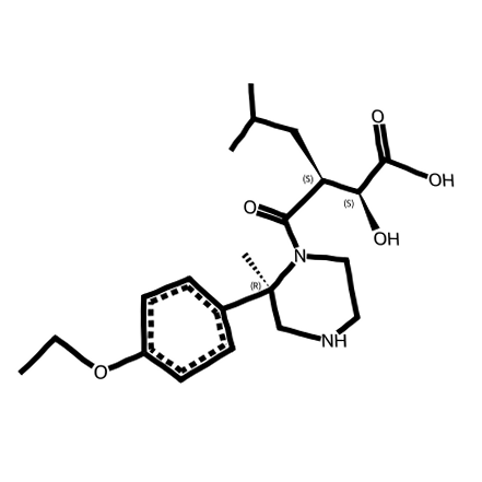 CCOc1ccc([C@]2(C)CNCCN2C(=O)[C@@H](CC(C)C)[C@H](O)C(=O)O)cc1